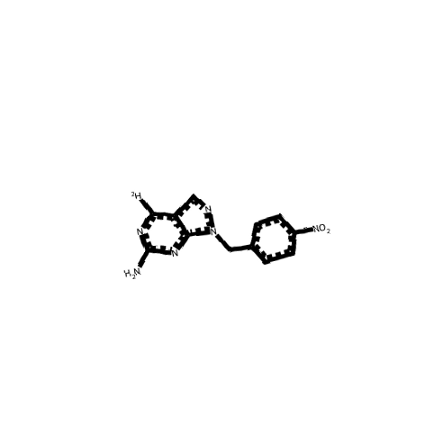 [2H]c1nc(N)nc2c1cnn2Cc1ccc([N+](=O)[O-])cc1